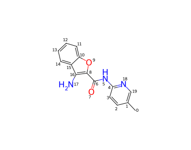 Cc1ccc(NC(=O)c2oc3ccccc3c2N)nc1